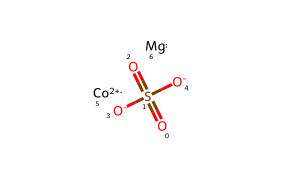 O=S(=O)([O-])[O-].[Co+2].[Mg]